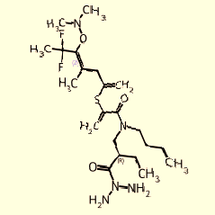 C=C(C/C(C)=C(\ON(C)C)C(C)(F)F)SC(=C)C(=O)N(CCCC)C[C@@H](CC)C(=O)N(N)N